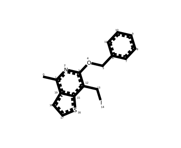 Cc1nc(OCc2ccccc2)c(CI)c2sccc12